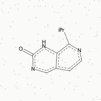 CC(C)c1nccc2cnc(=O)[nH]c12